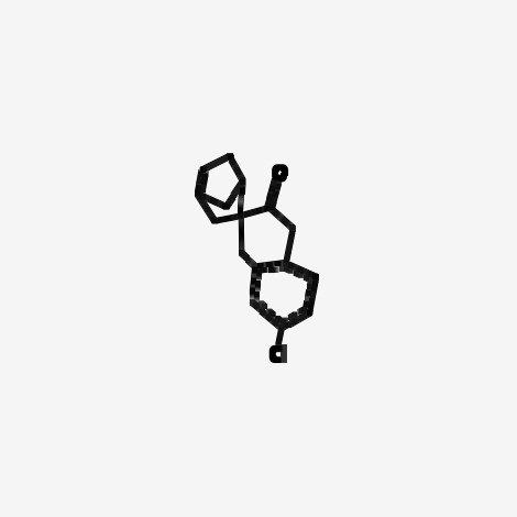 O=C1Cc2ccc(Cl)cc2CC12CC1=CCC2C1